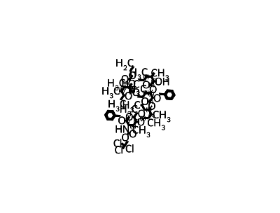 C=CCOC(=O)OC1[C@@H](OCC2O[C@@H](O[C@@H]3C(CC)O[C@@H](O[C@@H]4C(CC)O[C@@H](OCc5ccccc5)C(NC(=O)OCC(Cl)(Cl)Cl)[C@H]4C)C(C)[C@H]3C)C(OCc3ccccc3)[C@@H](O[C@@H]3OC(CC)[C@H](C)C(C)[C@@H]3O)[C@@H]2C)OC(CC)[C@@H](C)[C@@H]1C